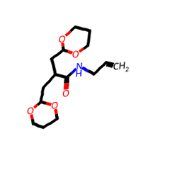 C=CCNC(=O)C(CC1OCCCO1)CC1OCCCO1